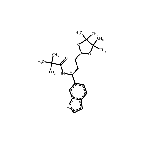 CC(C)(C)C(=O)N[C@@H](CCB1OC(C)(C)C(C)(C)O1)c1ccc2ccoc2c1